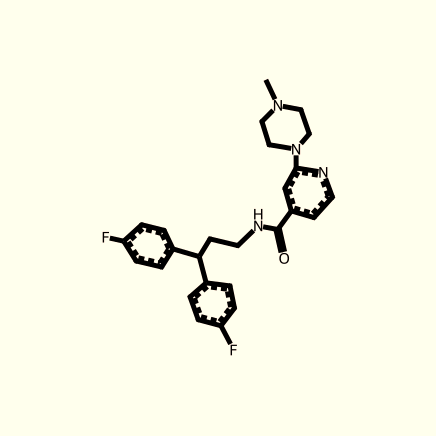 CN1CCN(c2cc(C(=O)NCCC(c3ccc(F)cc3)c3ccc(F)cc3)ccn2)CC1